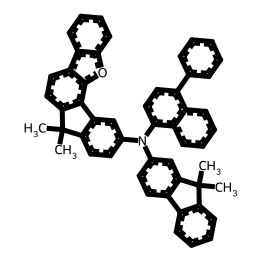 CC1(C)c2ccccc2-c2ccc(N(c3ccc4c(c3)-c3c(ccc5c3oc3ccccc35)C4(C)C)c3ccc(-c4ccccc4)c4ccccc34)cc21